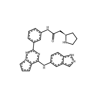 O=C(C[C@H]1CCCN1)Nc1cccc(-c2nc(Nc3ccc4[nH]ncc4c3)c3cccn3n2)c1